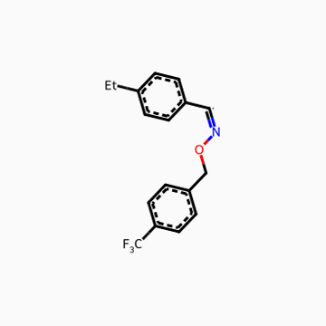 CCc1ccc(/[C]=N\OCc2ccc(C(F)(F)F)cc2)cc1